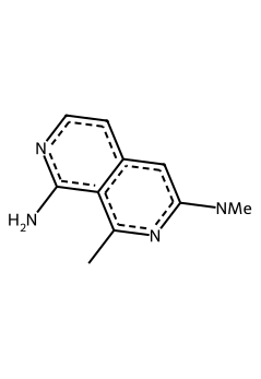 CNc1cc2ccnc(N)c2c(C)n1